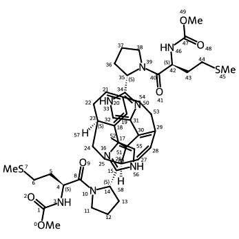 COC(=O)N[C@@H](CCSC)C(=O)N1CCC[C@H]1c1nc(C2=CC3=CC[C@@H]2CC[C@@H]2C=CC(=C(c4c[nH]c([C@@H]5CCCN5C(=O)[C@H](CCSC)NC(=O)OC)n4)C2C)CC3)c[nH]1